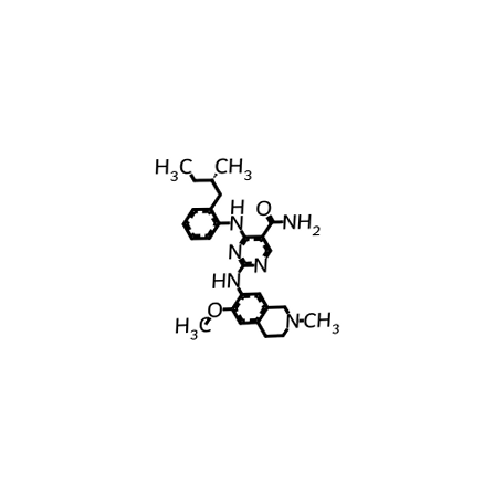 CC[C@H](C)Cc1ccccc1Nc1nc(Nc2cc3c(cc2OC)CCN(C)C3)ncc1C(N)=O